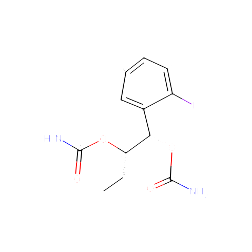 CC[C@H](OC(N)=O)[C@@H](OC(N)=O)c1ccccc1I